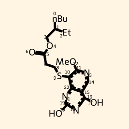 CCCCC(CC)COC(=O)CCSc1c(OC)ncc2c(O)nc(O)nc12